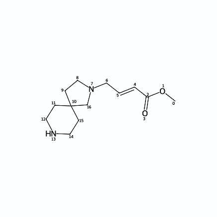 COC(=O)/C=C/CN1CCC2(CCNCC2)C1